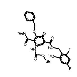 CNC(=O)c1c(OCc2ccccc2)c(=O)c(C(=O)NCc2c(O)cc(F)cc2F)cn1NC(=O)OC(C)(C)C